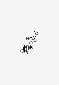 O=C(NCc1cccnc1)C(O)c1ccc(-c2noc(-c3cnn(-c4ccccc4)c3C(F)(F)F)n2)cc1